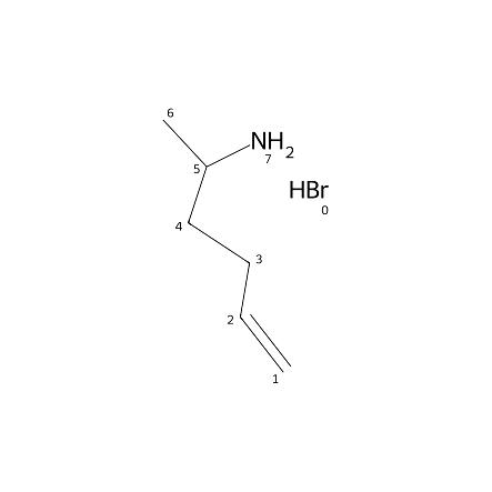 Br.C=CCCC(C)N